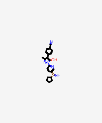 Cc1nn(-c2ccc(S(=N)C3CCCC3)cn2)c(O)c1-c1ccc(C#N)cc1